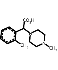 Cc1ccccc1C(C(=O)O)N1CCN(C)CC1